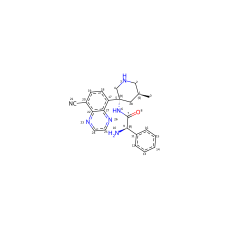 C[C@@H]1CNC[C@](NC(=O)[C@H](N)c2ccccc2)(c2ccc(C#N)c3nccnc23)C1